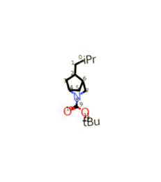 CC(C)CC1CC2CC1CN2C(=O)OC(C)(C)C